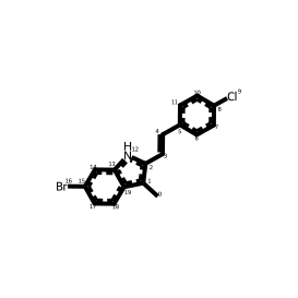 Cc1c(C=Cc2ccc(Cl)cc2)[nH]c2cc(Br)ccc12